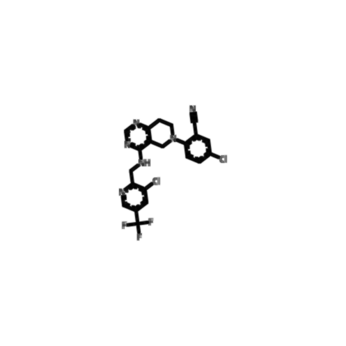 N#Cc1cc(Cl)ccc1N1CCc2ncnc(NCc3ncc(C(F)(F)F)cc3Cl)c2C1